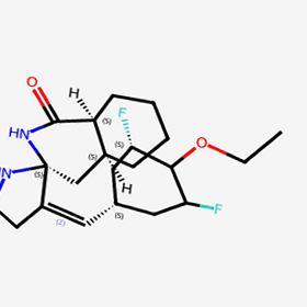 CCOC1C(F)C[C@H](/C=C2/CCN[C@]23C[C@@H]2CCCC[C@@H]2C(=O)N3)C[C@@H]1F